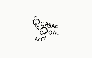 CC(=O)OC[C@H]1O[C@@H](SN2CCOCC2)[C@H](OC(C)=O)[C@@H](OC(C)=O)[C@@H]1OC(C)=O